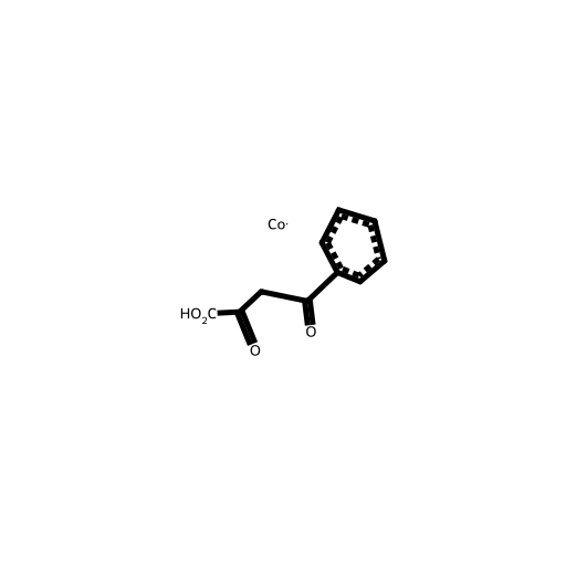 O=C(O)C(=O)CC(=O)c1ccccc1.[Co]